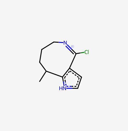 CC1CCC/N=C(/Cl)c2cc[nH]c21